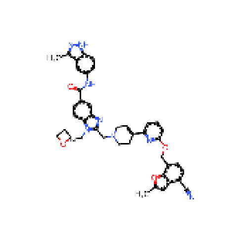 Cc1cc2c(C#N)ccc(COc3cccc(C4=CCN(Cc5nc6cc(C(=O)Nc7ccc8[nH]nc(C)c8c7)ccc6n5C[C@@H]5CCO5)CC4)n3)c2o1